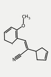 COC1=C(C=C(C#N)C2CC=CC2)[CH]CC=C1